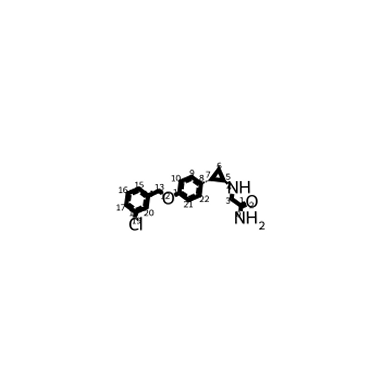 NC(=O)CN[C@@H]1C[C@H]1c1ccc(OCc2cccc(Cl)c2)cc1